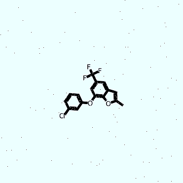 Cc1cc2cc(C(F)(F)F)cc(Oc3cc[c]c(Cl)c3)c2o1